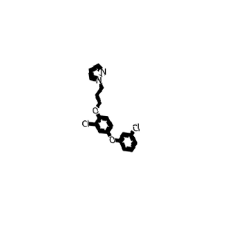 Clc1cccc(Oc2ccc(OCCCn3cccn3)c(Cl)c2)c1